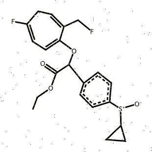 CCOC(=O)C(OC1=CC=C(F)CC=C1CF)c1ccc([S+]([O-])C2CC2)cc1